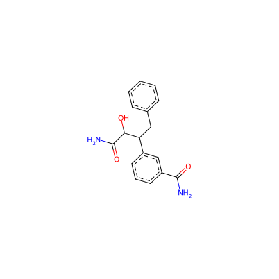 NC(=O)c1cccc(C(Cc2ccccc2)C(O)C(N)=O)c1